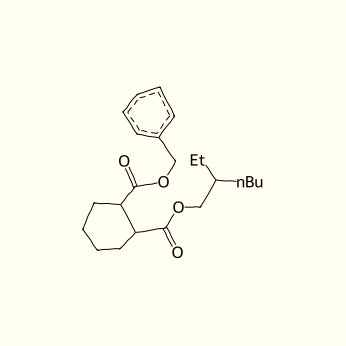 CCCCC(CC)COC(=O)C1CCCCC1C(=O)OCc1ccccc1